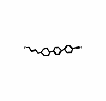 N#Cc1ccc(-c2ccc(C3CCC(C/C=C/CF)CC3)cc2)cc1